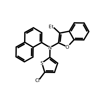 CCc1c(N(c2ccc(Cl)s2)c2cccc3ccccc23)oc2ccccc12